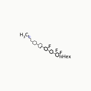 C/C=C/CCC1CCC(C2CC=C(c3ccc(-c4ccc(-c5ccc(CCCCCC)c(F)c5F)cc4)c(F)c3)CC2)CC1